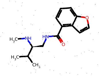 CN[C@@H](CNC(=O)c1cccc2occc12)C(C)C